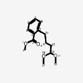 COC(=O)c1ccccc1CCCC(OC)OC